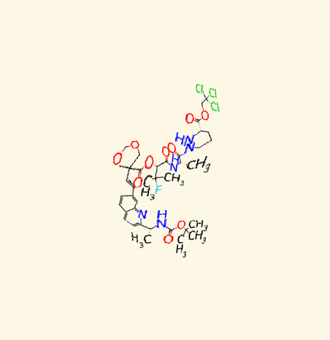 C[C@H](NC(=O)[C@@H](OC(=O)C1(/C=C/c2ccc3ccc([C@@H](C)NC(=O)OC(C)(C)C)nc3c2)COCOC1)C(C)(C)F)C(=O)N1CCC[C@@H](C(=O)OCC(Cl)(Cl)Cl)N1